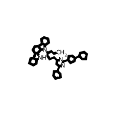 C=C/C=C(\C=C/Cc1cc(-c2ccccc2)nc(-c2ccc(-c3ccccc3)cc2)n1)n1c2ccccc2c2ccc3c4ccccc4[nH]c3c21